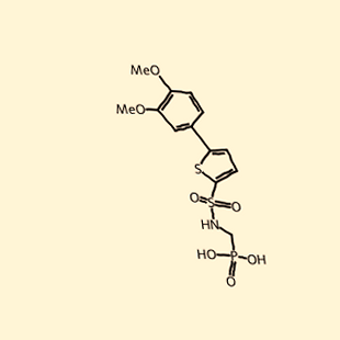 COc1ccc(-c2ccc(S(=O)(=O)NCP(=O)(O)O)s2)cc1OC